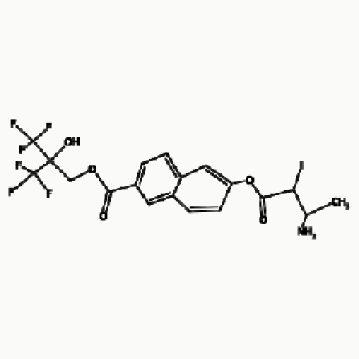 CC(N)C(I)C(=O)Oc1ccc2cc(C(=O)OCC(O)(C(F)(F)F)C(F)(F)F)ccc2c1